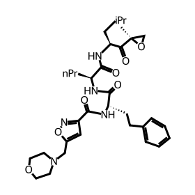 CCC[C@H](NC(=O)[C@H](CCc1ccccc1)NC(=O)c1cc(CN2CCOCC2)on1)C(=O)N[C@@H](CC(C)C)C(=O)[C@@]1(C)CO1